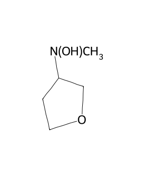 CN(O)C1CCOC1